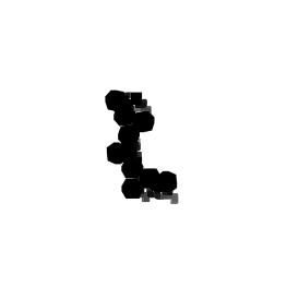 CC1(C)c2ccccc2-c2ccc(N(C3=CC=CCC3)c3ccc4c(c3)sc3c5sc6cc(N(c7ccccc7)c7ccc8c(c7)C(C)(C)c7ccccc7-8)ccc6c5c5ccccc5c43)cc21